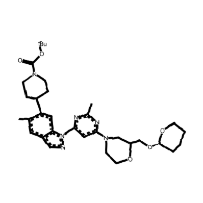 Cc1nc(N2CCOC(CO[C@@H]3CCCCO3)C2)cc(-n2ncc3cc(C)c(C4CCN(C(=O)OC(C)(C)C)CC4)cc32)n1